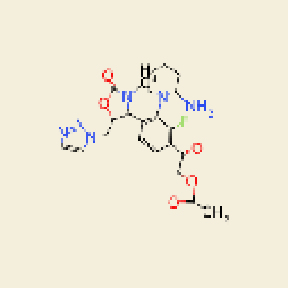 CC(=O)OCC(=O)c1ccc(C2C(Cn3ccnn3)OC(=O)N2C)c(N2CCCCC2N)c1F